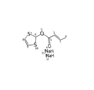 CC=CC(=O)OC1SC=CS1.[NaH].[NaH]